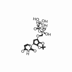 CC1(C)OC2C(O1)[C@H](n1ccc(=O)[nH]c1=O)C[C@@H]2OCP(=O)(O)OP(=O)(O)O[PH](O)(O)O